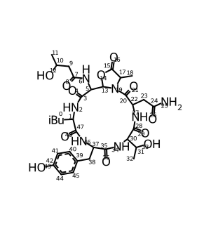 CCC(C)C1NC(=O)C(NC(=O)CC(C)O)C2OC(=O)C(C)N2C(=O)C(CC(N)=O)NC(=O)C(C(C)O)NC(=O)C(Cc2ccc(O)cc2)NC1=O